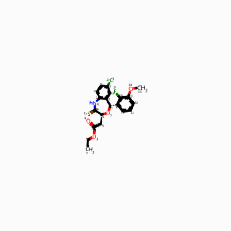 CCOC(=O)C[C@@H]1O[C@@H](c2cccc(OC)c2F)c2cc(Cl)ccc2NC1=S